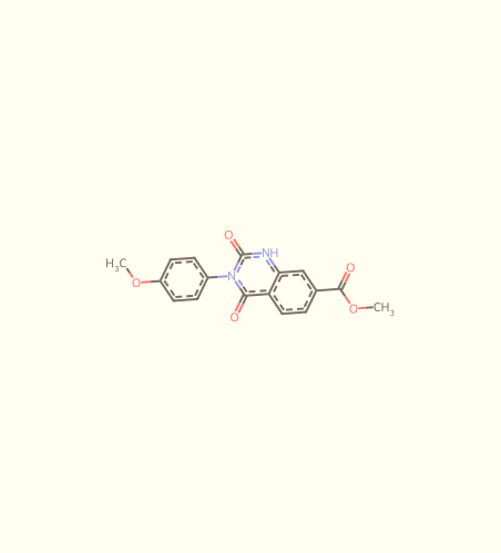 COC(=O)c1ccc2c(=O)n(-c3ccc(OC)cc3)c(=O)[nH]c2c1